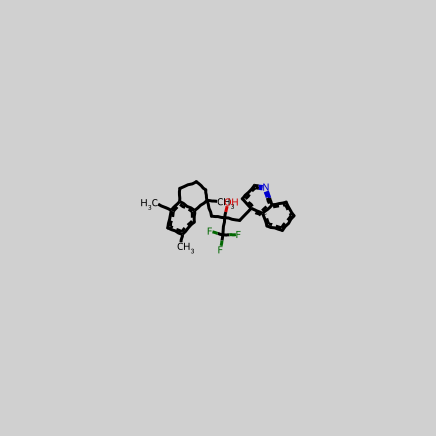 Cc1cc(C)c2c(c1)C(C)(CC(O)(Cc1ccnc3ccccc13)C(F)(F)F)CCC2